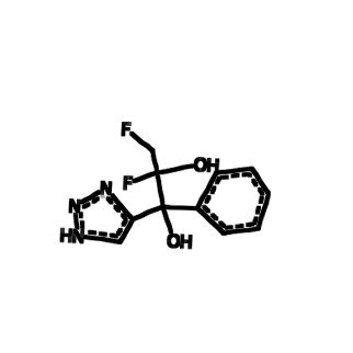 OC(F)(CF)C(O)(c1ccccc1)c1c[nH]nn1